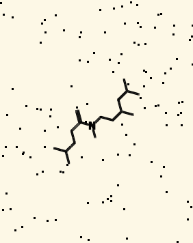 C=C(CCC(C)C)N(C)CCC(C)CC(C)C